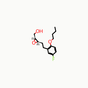 CCCCOc1ccc(F)cc1CC[C@H]1O[C@H]1CO